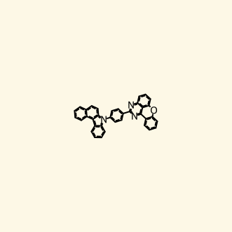 c1ccc2c(c1)Oc1cccc3nc(-c4ccc(-n5c6ccccc6c6c7ccccc7ccc65)cc4)nc-2c13